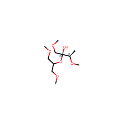 COCC(COC)O[C@](O)(COC)[C@@H](C)OC